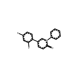 O=c1ccc(-c2ccc(F)cc2F)cn1-c1ccccc1